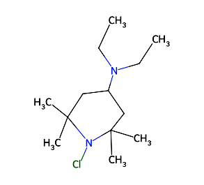 CCN(CC)C1CC(C)(C)N(Cl)C(C)(C)C1